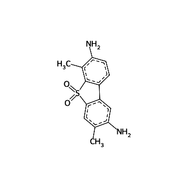 Cc1cc2c(cc1N)-c1ccc(N)c(C)c1S2(=O)=O